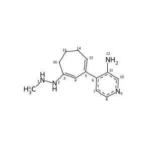 CNNC1=CC(c2ccncc2N)=CCCC1